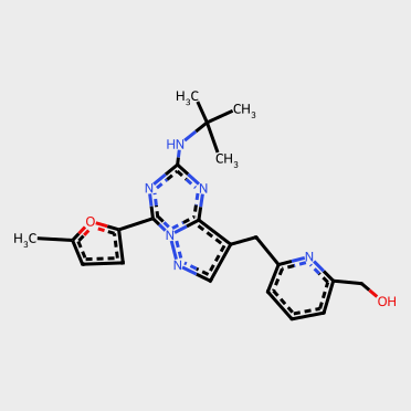 Cc1ccc(-c2nc(NC(C)(C)C)nc3c(Cc4cccc(CO)n4)cnn23)o1